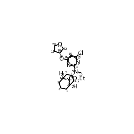 CCOC(=O)N1[C@@H]2CCC[C@H]1C[C@H](N(C)c1nc(Cl)cc(O[C@@H]3CCOC3)n1)C2